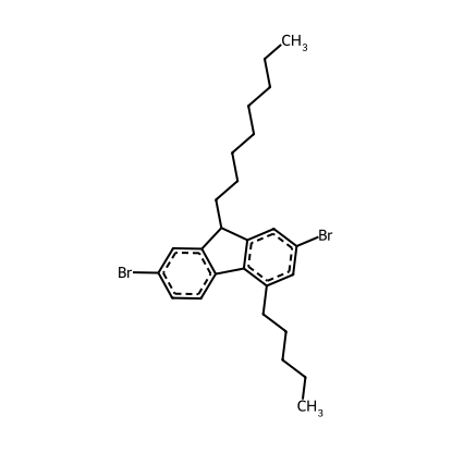 CCCCCCCCC1c2cc(Br)ccc2-c2c(CCCCC)cc(Br)cc21